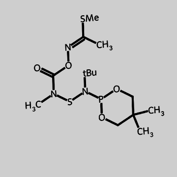 CSC(C)=NOC(=O)N(C)SN(P1OCC(C)(C)CO1)C(C)(C)C